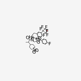 CC(C(=O)N1CC[C@@]2(S(=O)(=O)c3ccc(F)cc3)c3ccc(C(F)(C(F)(F)F)C(F)(F)F)cc3CC[C@@H]12)C1CCS(=O)(=O)CC1